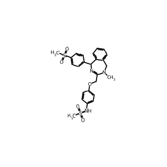 CN1Cc2ccccc2C(c2ccc(S(C)(=O)=O)cc2)N=C1COc1ccc(NS(C)(=O)=O)cc1